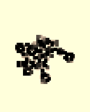 CN(C)C(=O)OC1C(OCC(OCc2ccccc2)C(OCc2ccccc2)C(COP(O)OCc2ccccc2)OCc2ccccc2)OC(COCc2ccccc2)C1O